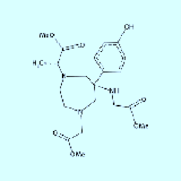 COC(=O)CNC1(c2ccc(O)cc2)CN(CC(=O)OC)CCN([C@H](C)C(=O)OC)C1